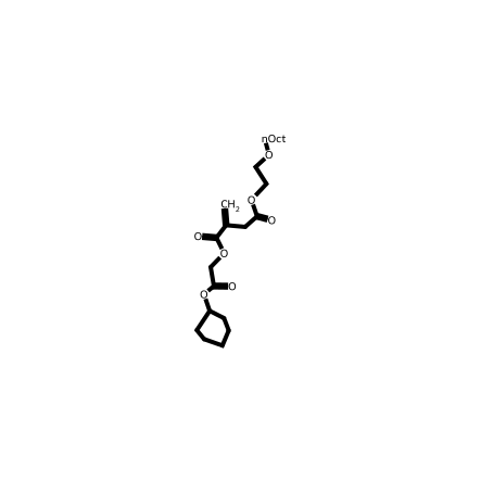 C=C(CC(=O)OCCOCCCCCCCC)C(=O)OCC(=O)OC1CCCCC1